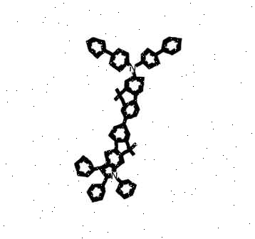 CC1(C)c2cc(-c3ccc4c(c3)C(C)(C)c3cc5c(cc3-4)c(-c3ccccc3)c(-c3ccccc3)n5-c3ccccc3)ccc2-c2ccc(N(c3ccc(-c4ccccc4)cc3)c3ccc(-c4ccccc4)cc3)cc21